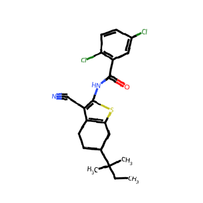 CCC(C)(C)C1CCc2c(sc(NC(=O)c3cc(Cl)ccc3Cl)c2C#N)C1